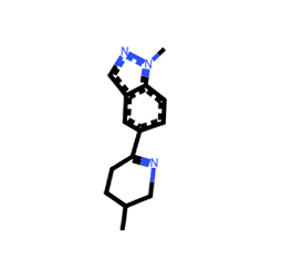 CC1CCC(c2ccc3c(cnn3C)c2)=NC1